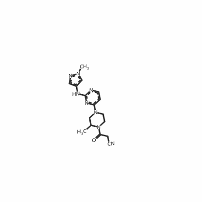 CC1CN(c2ccnc(Nc3cnn(C)c3)n2)CCN1C(=O)CC#N